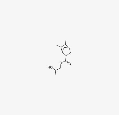 CC(O)COC(=O)C1CC2CC1C(C)C2C